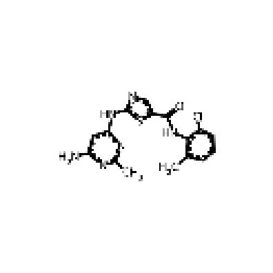 Cc1nc(N)cc(Nc2ncc(C(=O)Nc3c(C)cccc3Cl)s2)n1